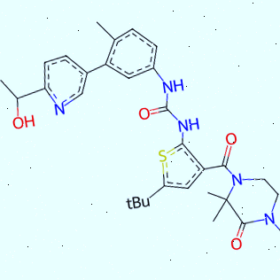 Cc1ccc(NC(=O)Nc2sc(C(C)(C)C)cc2C(=O)N2CCN(C)C(=O)C2(C)C)cc1-c1ccc(C(C)O)nc1